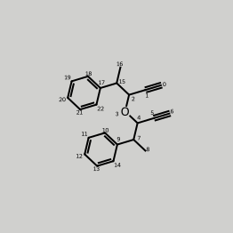 C#CC(OC(C#C)C(C)c1ccccc1)C(C)c1ccccc1